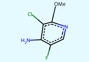 COc1ncc(F)c(N)c1Cl